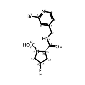 O=C(NCc1ccnc(Br)c1)[C@@H]1C[C@@H](F)CN1C(=O)O